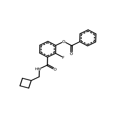 O=C(Oc1cccc(C(=O)NCC2CCC2)c1F)c1ccccc1